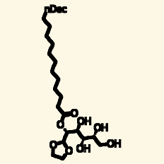 CCCCCCCCCCCCCCCCCCCCCC(=O)O[C@@H](C1OCCO1)[C@@H](O)[C@@H](O)[C@H](O)CO